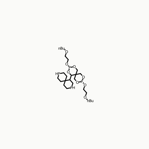 CCCCOCCOP1OCC2(CO1)COP(OCCOCCCC)OC2C1CPCCC12CCPCC2